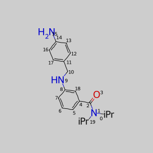 CC(C)N(C(=O)c1cccc(NCc2ccc(N)cc2)c1)C(C)C